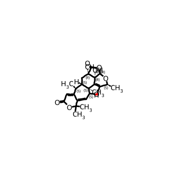 C[C@@H]1O[C@@H]2OC(=O)[C@]3(C)C[C@H]4[C@H](C)C5=CC(=O)OC(C)(C)C5=C[C@@H]5OC1=C([C@@]54C)[C@]23O